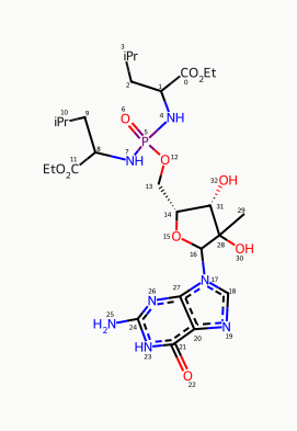 CCOC(=O)C(CC(C)C)NP(=O)(NC(CC(C)C)C(=O)OCC)OC[C@H]1OC(n2cnc3c(=O)[nH]c(N)nc32)C(C)(O)[C@H]1O